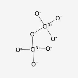 [O-][Cl+3]([O-])([O-])O[Cl+3]([O-])([O-])[O-]